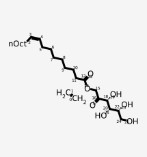 C=C.CCCCCCCC/C=C\CCCCCCCC(=O)OCC(=O)[C@H](O)[C@@H](O)[C@H](O)CO